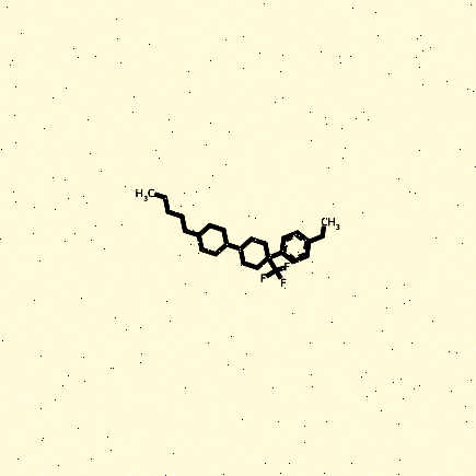 CCCCCC1CCC(C2CCC(c3ccc(CC)cc3)(C(F)(F)F)CC2)CC1